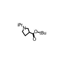 CC(C)N1CCC(C(=O)OC(C)(C)C)C1